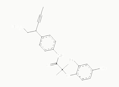 CC#CC(CC(=O)O)c1ccc(NC(=O)C(C)(C)Oc2ccc(C(C)(C)C)cc2Br)cc1